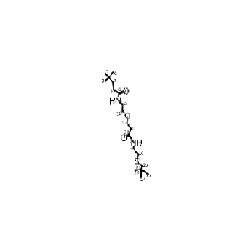 CC(C)(C)CCC(=O)NCCOCCC(=O)NCCSCC(C)(C)C